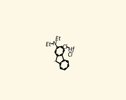 CCN(CC)c1ccc2c(c1)[CH]c1ccccc1-2.[Cl][Hf][Cl]